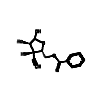 C#C[C@@]1(O)[C@@H](COC(=O)c2ccccc2)OC(O)[C@@H]1O